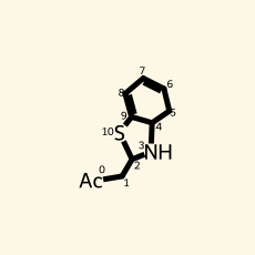 CC(=O)CC1NC2CC=CC=C2S1